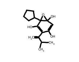 C=C(C1=C(O)C2(C3CCCC3)OC2(O)C=C1O)C(C)C